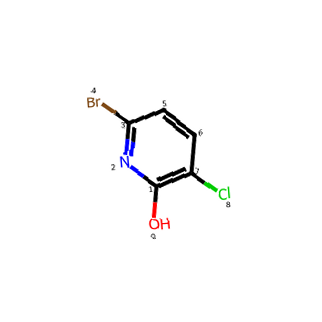 Oc1nc(Br)ccc1Cl